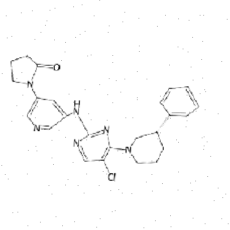 O=C1CCCN1c1cncc(Nc2ncc(Cl)c(N3CCC[C@@H](c4ccccc4)C3)n2)c1